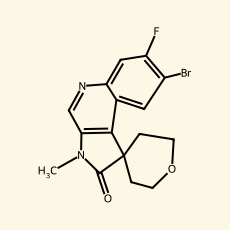 CN1C(=O)C2(CCOCC2)c2c1cnc1cc(F)c(Br)cc21